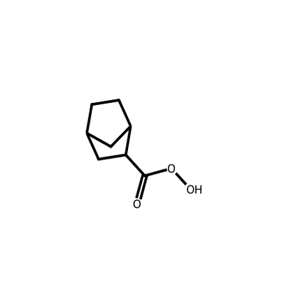 O=C(OO)C1CC2CCC1C2